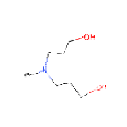 CC(C)N(CCCO)CCCO